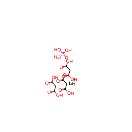 O=C(O)CC(=O)O.O=C(O)CC(=O)O.O=C(O)CC(=O)O.O=P(O)(O)O.[LiH]